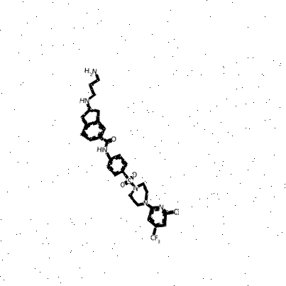 NCCCNC1Cc2ccc(C(=O)Nc3ccc(S(=O)(=O)N4CCN(c5cc(C(F)(F)F)cc(Cl)n5)CC4)cc3)cc2C1